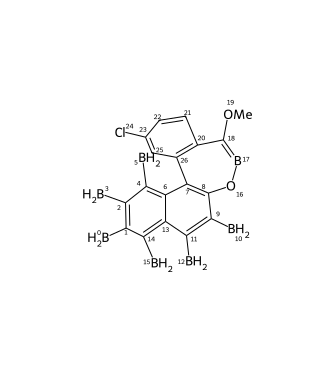 Bc1c(B)c(B)c2c3c(c(B)c(B)c2c1B)OB=C(OC)c1ccc(Cl)cc1-3